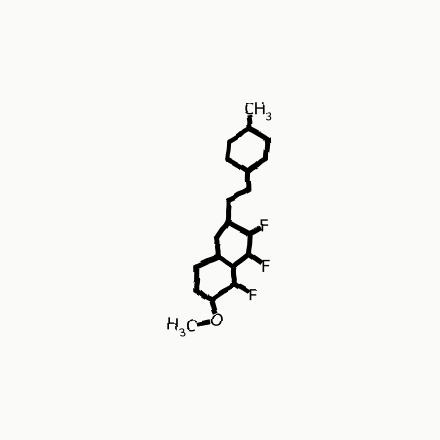 COC1CCC2CC(CCC3CCC(C)CC3)C(F)C(F)C2C1F